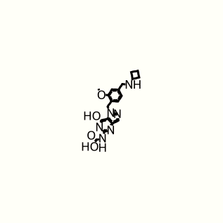 COc1cc(CNC2CCC2)ccc1Cn1ncc2nc(NC(=O)O)nc(O)c21